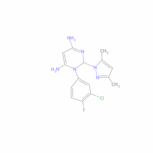 Cc1cc(C)n(C2N=C(N)C=C(N)N2c2ccc(F)c(Cl)c2)n1